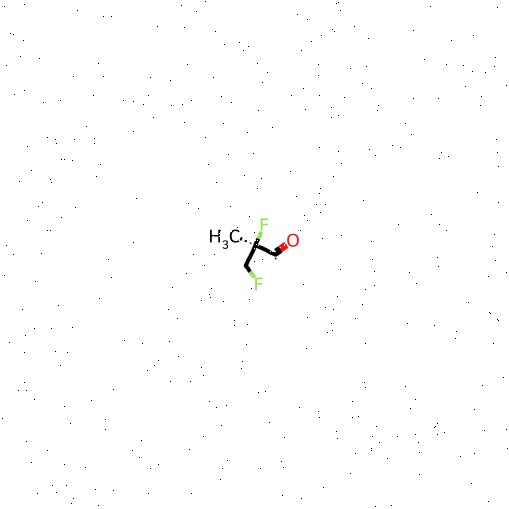 C[C@](F)([C]=O)CF